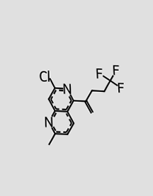 C=C(CCC(F)(F)F)c1nc(Cl)cc2nc(C)ccc12